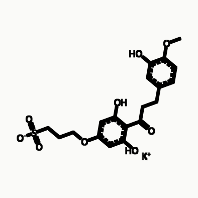 COc1ccc(CCC(=O)c2c(O)cc(OCCCS(=O)(=O)[O-])cc2O)cc1O.[K+]